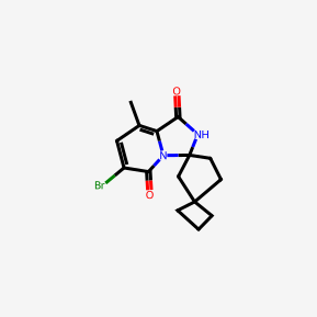 Cc1cc(Br)c(=O)n2c1C(=O)NC21CCC2(CCC2)C1